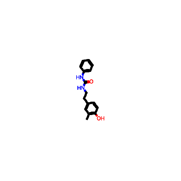 Cc1cc(CCNC(=O)Nc2ccccc2)ccc1O